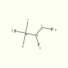 FCC(F)C(F)(I)I